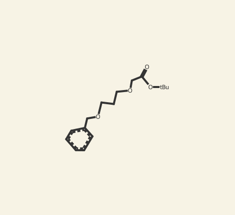 CC(C)(C)OC(=O)COCCCOCc1ccccc1